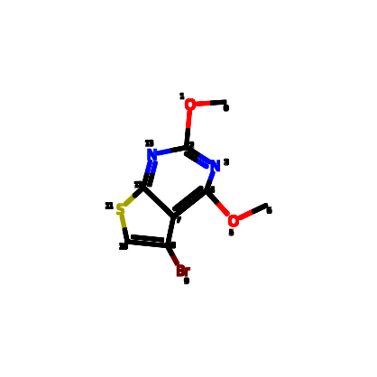 COc1nc(OC)c2c(Br)csc2n1